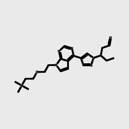 CCC(CC=O)n1cc(-c2ncnc3c2ccn3CCOCC[Si](C)(C)C)cn1